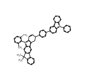 Cc1cccc(C)c1-n1c2c(c3cc4c(cc31)C(C)(C)c1ccccc1-4)CC(c1ccc(-c3ccc4c(c3)c3ccccc3n4-c3ccccc3)cc1)C=C2